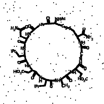 CC(=O)NC1CSSCC(C(N)=O)NC(=O)CNC(=O)C(CC(=O)O)NC(=O)C(C)NC(=O)C(CC(C)C)NC(=O)C(CC(=O)O)NC(=O)C(CC(C)C)NC(=O)C(CC(N)=O)NC(=O)CNC1=O